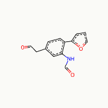 O=CCc1ccc(-c2ccco2)c(NC=O)c1